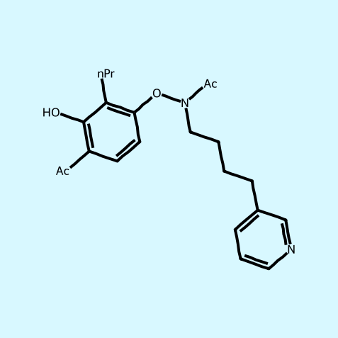 CCCc1c(ON(CCCCc2cccnc2)C(C)=O)ccc(C(C)=O)c1O